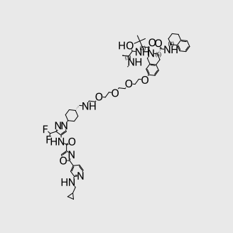 CN[C@@H](C)C(O)N[C@H](C(=O)N1Cc2cc(OCCOCCOCCOCCNC[C@H]3CC[C@H](n4cc(NC(=O)c5coc(-c6ccnc(NCC7CC7)c6)n5)c(C(F)F)n4)CC3)ccc2C[C@H]1C(=O)N[C@@H]1CCCc2ccccc21)C(C)(C)C